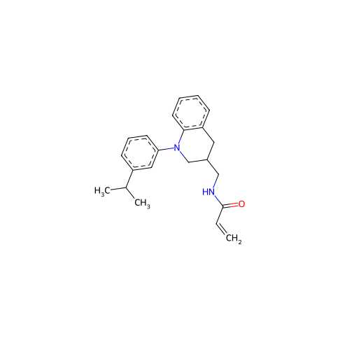 C=CC(=O)NCC1Cc2ccccc2N(c2cccc(C(C)C)c2)C1